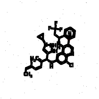 C=C(/C=C\C(F)=C/C)[C@H](Nc1cc(Cl)c2ncc(C#N)c(NC(CC(F)(F)F)c3ccccc3)c2c1)C1=CN(C2CC2)NN1